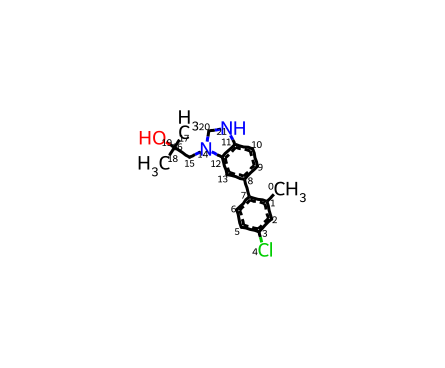 Cc1cc(Cl)ccc1-c1ccc2c(c1)N(CC(C)(C)O)CN2